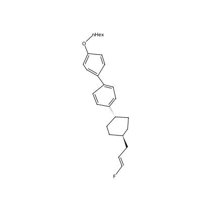 CCCCCCOc1ccc(-c2ccc([C@H]3CC[C@H](CC=CF)CC3)cc2)cc1